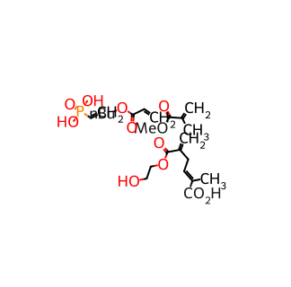 C=C(C)C(=O)OC.C=C(CC=C(C)C(=O)O)C(=O)OCCO.C=CC(=O)OCCCC.C=CP(=O)(O)O